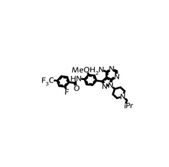 COc1cc(-c2nn(C3CCN(CC(C)C)CC3)c3ncnc(N)c23)ccc1NC(=O)c1ccc(C(F)(F)F)cc1F